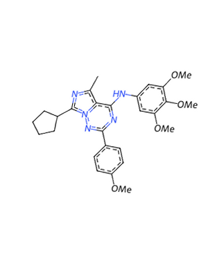 COc1ccc(-c2nc(Nc3cc(OC)c(OC)c(OC)c3)c3c(C)nc(C4CCCC4)n3n2)cc1